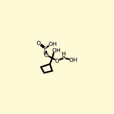 O=[PH](O)OC(O)(OPO)C1CCC1